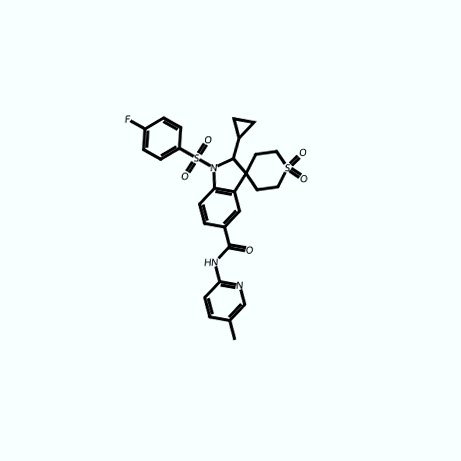 Cc1ccc(NC(=O)c2ccc3c(c2)C2(CCS(=O)(=O)CC2)C(C2CC2)N3S(=O)(=O)c2ccc(F)cc2)nc1